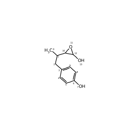 CC(Cc1ccc(O)cc1)C1OC1O